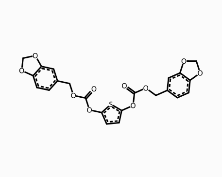 O=C(OCc1ccc2c(c1)OCO2)Oc1ccc(OC(=O)OCc2ccc3c(c2)OCO3)s1